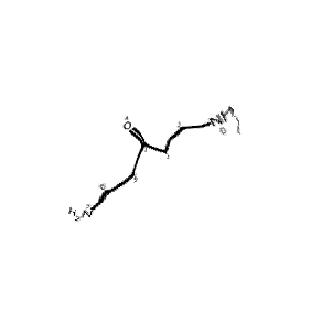 NCCC(=O)CCN